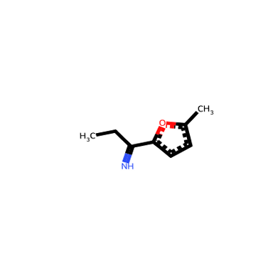 CCC(=N)c1ccc(C)o1